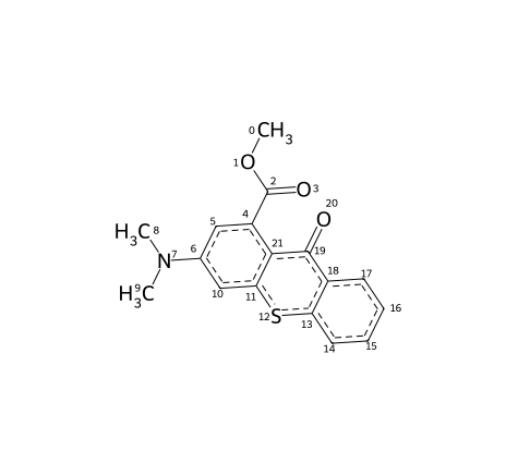 COC(=O)c1cc(N(C)C)cc2sc3ccccc3c(=O)c12